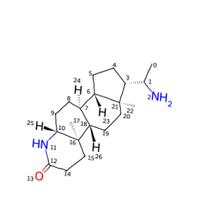 CC(N)[C@H]1CC[C@H]2[C@@H]3CC[C@H]4NC(=O)CC[C@]4(C)[C@H]3CC[C@]12C